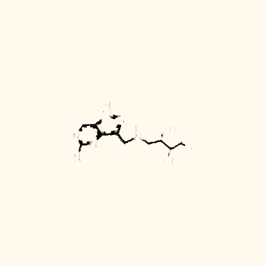 Nc1ncc2[nH]nc(CNC[C@@H](O)[C@H](O)CO)c2n1